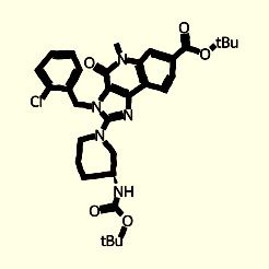 Cn1c(=O)c2c(nc(N3CCC[C@@H](NC(=O)OC(C)(C)C)C3)n2Cc2ccccc2Cl)c2ccc(C(=O)OC(C)(C)C)cc21